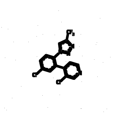 FC(F)(F)c1cn(-c2ccc(Cl)cc2-c2ccncc2Cl)nn1